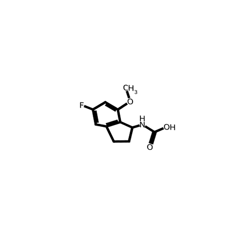 COc1cc(F)cc2c1C(NC(=O)O)CC2